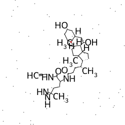 C#CCNC(=O)C(CCC1(C)NN1)NC(=O)CC[C@@H](C)[C@H]1CC[C@H]2[C@@H]3C(O)C[C@@H]4C[C@H](O)CC[C@]4(C)[C@H]3CC[C@]12C